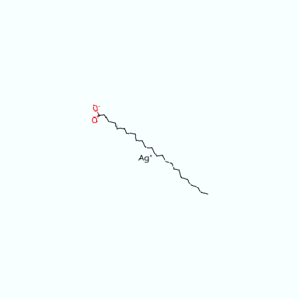 CCCCCCCCCCCCCCCCCCCCCCCC(=O)[O-].[Ag+]